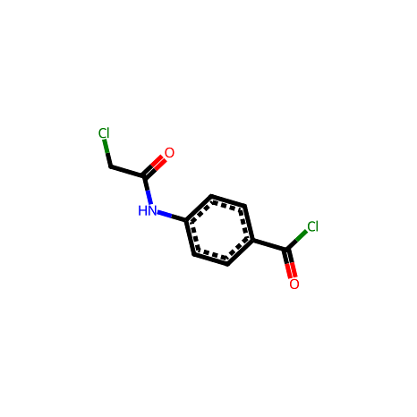 O=C(CCl)Nc1ccc(C(=O)Cl)cc1